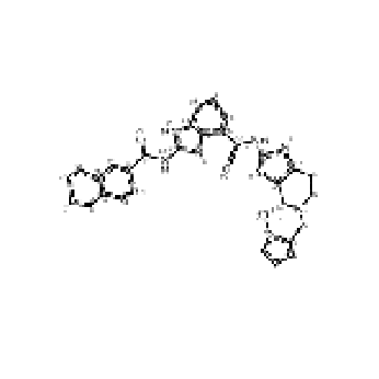 Cn1cccc1CN1CCc2nc(NC(=O)c3cccc4[nH]c(NC(=O)c5cc6ccccc6cn5)nc34)sc2C1